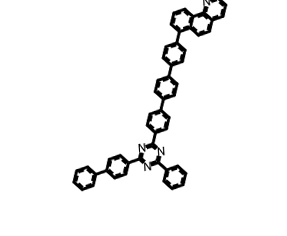 c1ccc(-c2ccc(-c3nc(-c4ccccc4)nc(-c4ccc(-c5ccc(-c6ccc(-c7cccc8c7ccc7cccnc78)cc6)cc5)cc4)n3)cc2)cc1